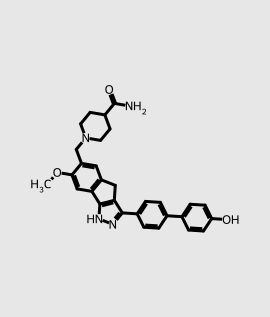 COc1cc2c(cc1CN1CCC(C(N)=O)CC1)Cc1c(-c3ccc(-c4ccc(O)cc4)cc3)n[nH]c1-2